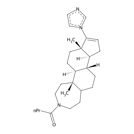 CCCC(=O)N1CCC2CC[C@@H]3[C@H](CC[C@]4(C)C(n5ccnc5)=CC[C@@H]34)[C@@]2(C)CC1